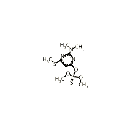 COP(=S)(OC)Oc1cc(SC)nc(N(C)C)n1